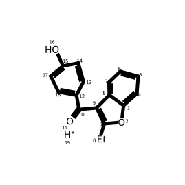 CCc1oc2ccccc2c1C(=O)c1ccc(O)cc1.[H+]